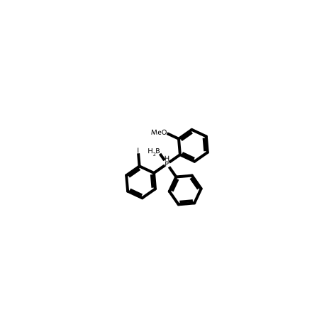 B[PH](c1ccccc1)(c1ccccc1I)c1ccccc1OC